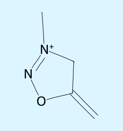 C=C1C[N+](C)=NO1